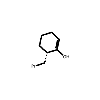 CC(C)C[C@@H]1CCCC=C1O